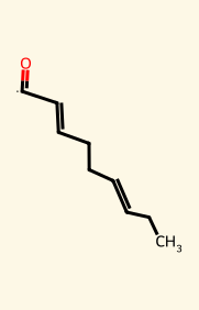 CC/C=C/CC/C=C/[C]=O